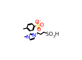 Cc1ccc(S(=O)(=O)[O-])cc1.Cn1cc[n+](CCCS(=O)(=O)O)c1